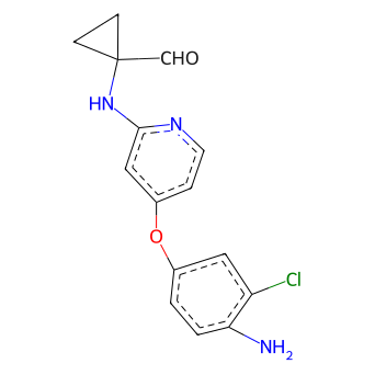 Nc1ccc(Oc2ccnc(NC3(C=O)CC3)c2)cc1Cl